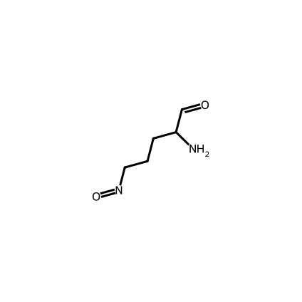 NC(C=O)CCCN=O